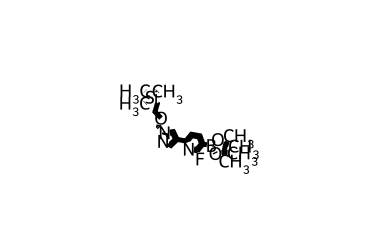 CC1(C)OB(c2ccc(-c3cnn(COCC[Si](C)(C)C)c3)nc2F)OC1(C)C